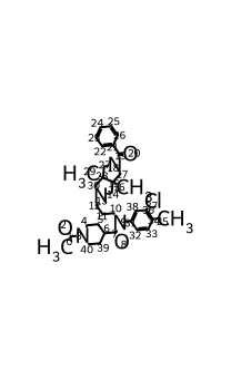 CC(=O)N1CCC(C(=O)N(CCCN2C[C@@]3(C)CN(C(=O)c4ccccc4)C[C@@]3(C)C2)c2ccc(C)c(Cl)c2)CC1